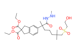 CCOC(=O)C1(C(=O)OCC)Cc2ccc(C(C)(CCCC(C)(C)CS(=O)(=O)CCO)C(=O)NNC)cc2C1